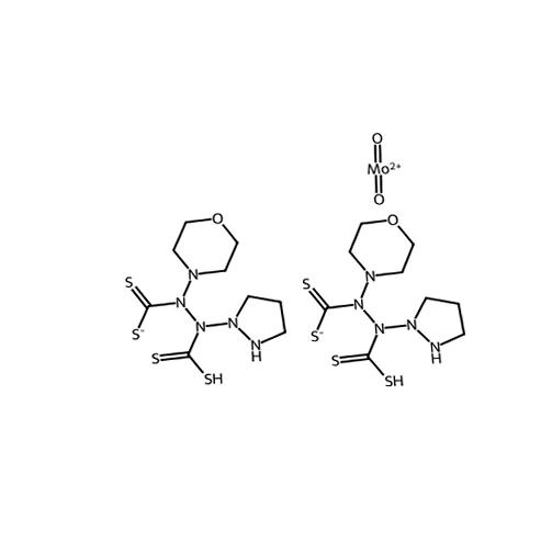 S=C([S-])N(N1CCOCC1)N(C(=S)S)N1CCCN1.S=C([S-])N(N1CCOCC1)N(C(=S)S)N1CCCN1.[O]=[Mo+2]=[O]